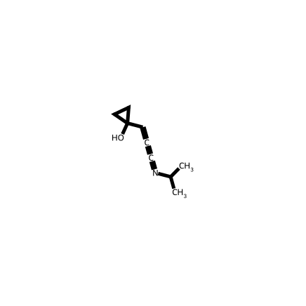 CC(C)N=C=C=CC1(O)CC1